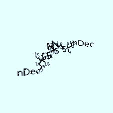 CCCCCCCCCCCCC(C)(C)SSc1nnc(SSC(C)(C)CCCCCCCCCCCC)s1